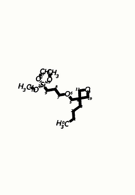 CCCCC1(COCCC[Si](OC)(OC)OC)COC1